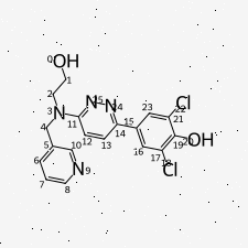 OCCN(Cc1cccnc1)c1ccc(-c2cc(Cl)c(O)c(Cl)c2)nn1